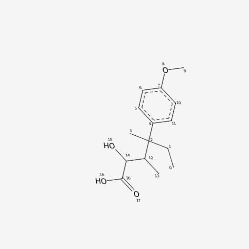 CCC(C)(c1ccc(OC)cc1)C(C)C(O)C(=O)O